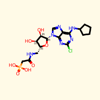 O=C(CP(=O)(O)O)NC[C@H]1O[C@@H](n2cnc3c(NC4CCCC4)nc(Cl)nc32)[C@H](O)[C@@H]1O